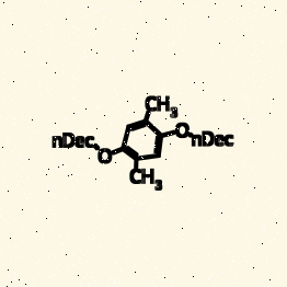 CCCCCCCCCCOc1cc(C)c(OCCCCCCCCCC)cc1C